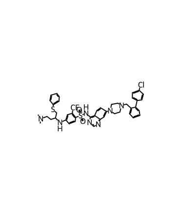 CN(C)CCC(CSc1ccccc1)Nc1ccc(S(=O)(=O)Nc2ncnc3cc(N4CCN(Cc5ccccc5-c5ccc(Cl)cc5)CC4)ccc23)c(C(F)(F)F)c1